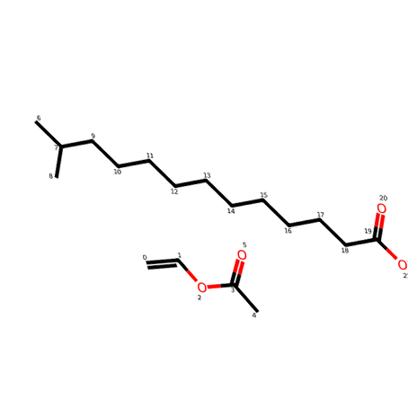 C=COC(C)=O.CC(C)CCCCCCCCCCC(=O)O